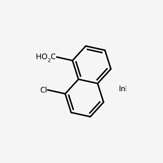 O=C(O)c1cccc2cccc(Cl)c12.[In]